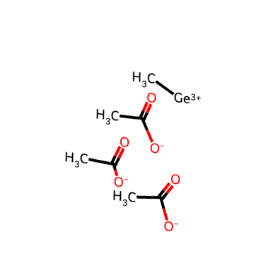 CC(=O)[O-].CC(=O)[O-].CC(=O)[O-].[CH3][Ge+3]